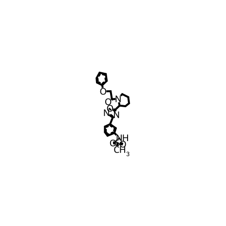 CS(=O)(=O)Nc1cccc(-c2noc(C3CCCCN3C(=O)COc3ccccc3)n2)c1